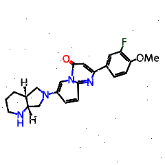 COc1ccc(-c2cc(=O)n3cc(N4C[C@H]5CCCN[C@H]5C4)ccc3n2)cc1F